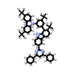 CC(C)(C)c1cc(-c2c(C(C)(C)C)ccc3c2[nH]c2ccc(-c4nc(-c5ccccc5)cc(-c5ccccc5)n4)cc23)cc(-n2c3ccc(C(C)(C)C)cc3c3cc(C(C)(C)C)ccc32)c1